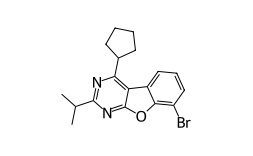 CC(C)c1nc(C2CCCC2)c2c(n1)oc1c(Br)cccc12